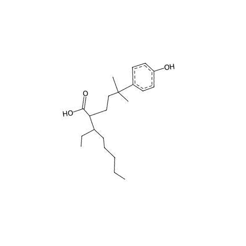 CCCCCC(CC)C(CCC(C)(C)c1ccc(O)cc1)C(=O)O